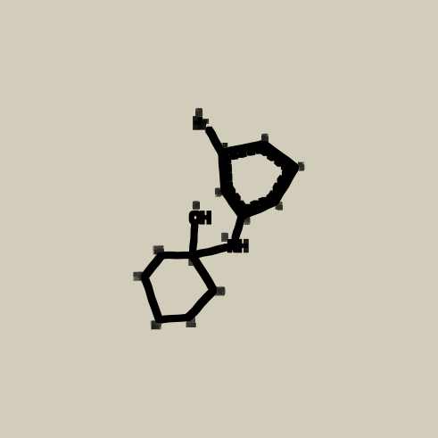 OC1(Nc2cccc(Br)c2)C[CH]CCC1